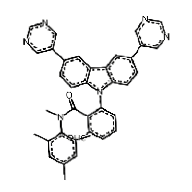 Cc1cc(C)c(N(C)C(=O)c2c(C=O)cccc2-n2c3ccc(-c4cncnc4)cc3c3cc(-c4cncnc4)ccc32)c(C)c1